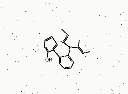 CC=C(C)P(C(C)=CC)c1ccccc1-c1ccccc1O